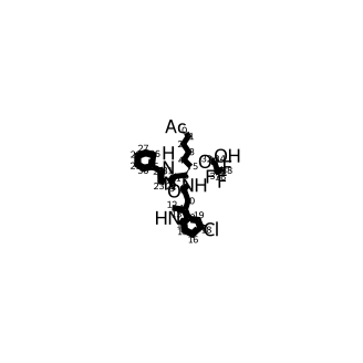 CC(=O)CCCCC[C@H](NC(=O)Cc1c[nH]c2ccc(Cl)cc12)c1ncc(-c2ccccc2)[nH]1.O=C(O)C(F)(F)F